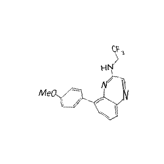 COc1ccc(-c2cccc3ncc(NCC(F)(F)F)nc23)cc1